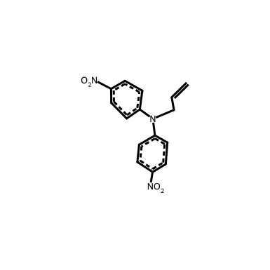 C=CCN(c1ccc([N+](=O)[O-])cc1)c1ccc([N+](=O)[O-])cc1